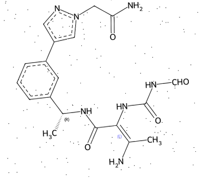 C/C(N)=C(\NC(=O)NC=O)C(=O)N[C@H](C)c1cccc(-c2cnn(CC(N)=O)c2)c1